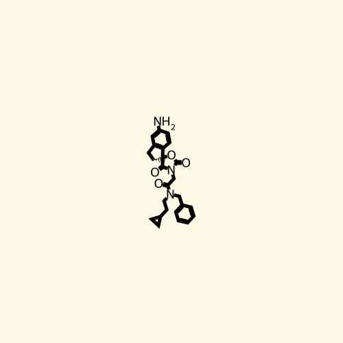 Nc1ccc2c(c1)CC[C@@]21OC(=O)N(CC(=O)N(CCC2CC2)Cc2ccccc2)C1=O